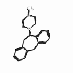 CN1CCN(C2Cc3ccccc3Cc3ccccc32)CC1